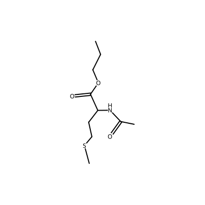 CCCOC(=O)C(CCSC)NC(C)=O